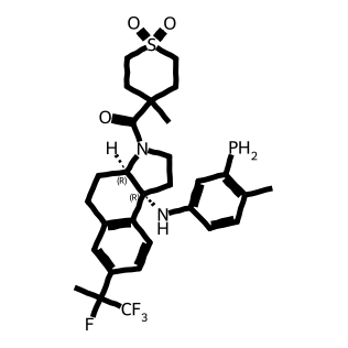 Cc1ccc(N[C@@]23CCN(C(=O)C4(C)CCS(=O)(=O)CC4)[C@@H]2CCc2cc(C(C)(F)C(F)(F)F)ccc23)cc1P